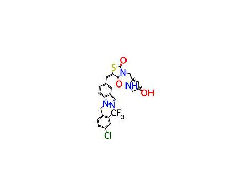 O=C1SC(=Cc2ccc3c(cnn3Cc3ccc(Cl)cc3C(F)(F)F)c2)C(=O)N1C[C@H]1C[C@@H](O)CN1